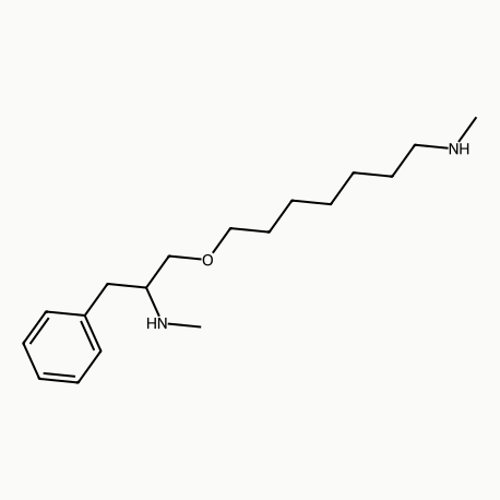 CNCCCCCCCOCC(Cc1ccccc1)NC